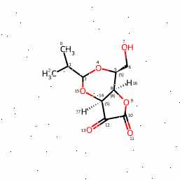 CC(C)C1O[C@@H](CO)[C@H]2OC(=O)C(=O)[C@H]2O1